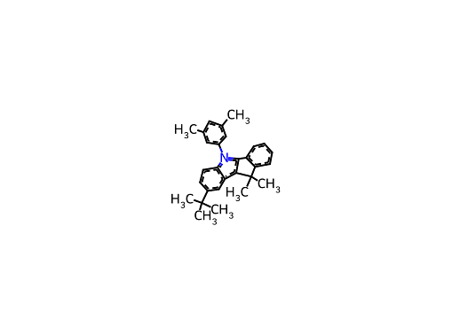 Cc1cc(C)cc(-n2c3c(c4cc(C(C)(C)C)ccc42)C(C)(C)c2ccccc2-3)c1